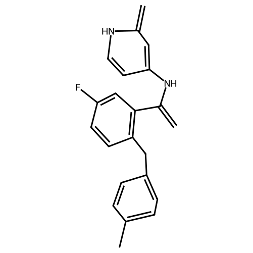 C=C1C=C(NC(=C)c2cc(F)ccc2Cc2ccc(C)cc2)C=CN1